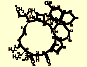 CC[C@@H](O)[C@H]1/C=C/C[C@H](C)[C@@H](C)S(=O)(=O)NC(=O)c2ccc3c(c2)N(C[C@@H]2CC[C@H]21)C[C@@]1(CCCc2cc(Cl)ccc21)CO3